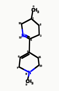 CC1CCC(C2=CCN(C)CC2)=NC1